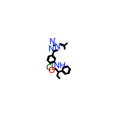 C=Nc1nc(-c2ccc(Cl)c(NC(=O)C(CC)c3ccccc3)c2)cn1C=C(C)C